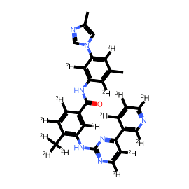 [2H]c1nc(Nc2c([2H])c(C(=O)Nc3c([2H])c(C)c([2H])c(-n4cnc(C)c4)c3[2H])c([2H])c([2H])c2C([2H])([2H])[2H])nc(-c2c([2H])nc([2H])c([2H])c2[2H])c1[2H]